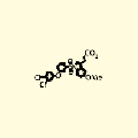 COc1ccc2c(c1)c(CCC(=O)O)cn2S(=O)(=O)c1cccc(Oc2ccc(Cl)c(Cl)c2)c1